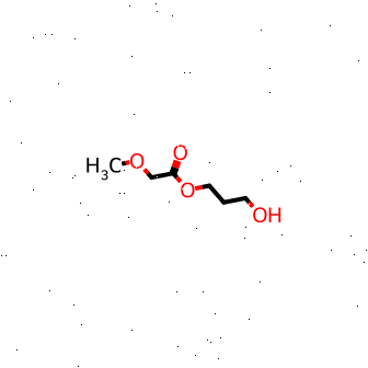 COCC(=O)OCCCO